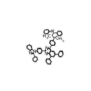 Cc1ccccc1/N=C(\CC(C)c1ccc(-c2nc(-c3ccc(-n4c(-c5ccccc5)nc5ccccc54)cc3)nc3c(-c4ccccc4)cc(-c4ccccc4)cc23)cc1)c1ccccc1